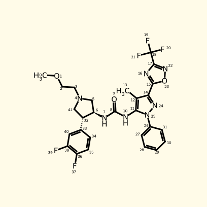 COCCN1C[C@@H](NC(=O)Nc2c(C)c(-c3nc(C(F)(F)F)no3)nn2-c2ccccc2)[C@H](c2ccc(F)c(F)c2)C1